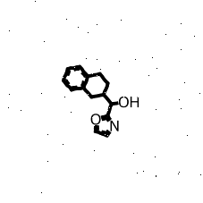 OC(c1ncco1)C1CCc2ccccc2C1